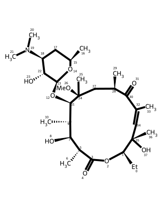 CC[C@H]1OC(=O)[C@H](C)[C@@H](O)[C@H](C)[C@@H](O[C@@H]2O[C@H](C)C[C@H](N(C)C)[C@H]2O)[C@@](C)(OC)C[C@@H](C)C(=O)/C(C)=C/[C@]1(C)O